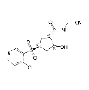 N#CCNC(=O)[C@H]1C[C@H](S(=O)(=O)c2ccccc2Cl)C[C@@H]1O